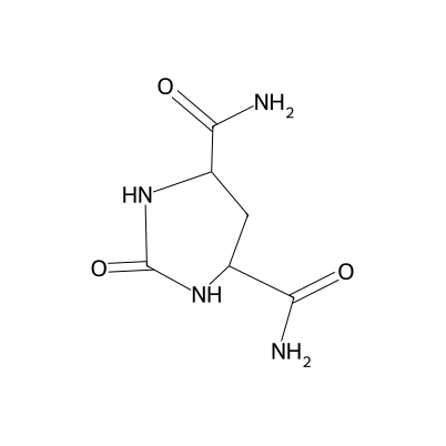 NC(=O)C1CC(C(N)=O)NC(=O)N1